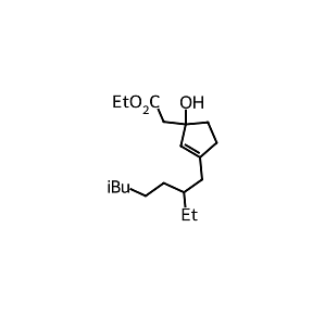 CCOC(=O)CC1(O)C=C(CC(CC)CCC(C)CC)CC1